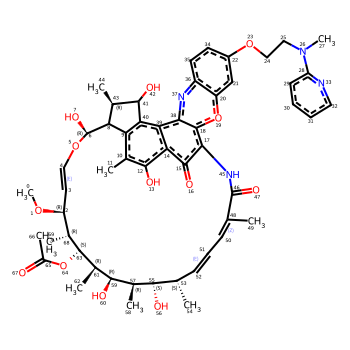 CO[C@H]1/C=C/O[C@@H](O)C2c3c(C)c(O)c4c(=O)c(c5oc6cc(OCCN(C)c7ccccn7)ccc6nc-5c4c3C(O)[C@@H]2C)NC(=O)/C(C)=C\C=C\[C@H](C)[C@H](O)[C@@H](C)[C@@H](O)[C@@H](C)[C@H](OC(C)=O)[C@@H]1C